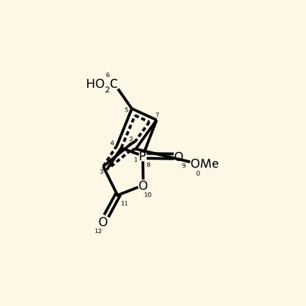 COc1cc2c3c(C(=O)O)c1P3(=O)OC2=O